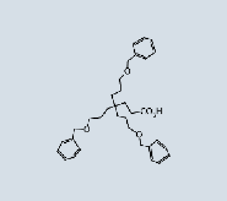 O=C(O)CCC(CCCOCc1ccccc1)(CCCOCc1ccccc1)CCCOCc1ccccc1